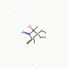 C=CC(=N)C(C)(O)[Si](CC)(CC)CC